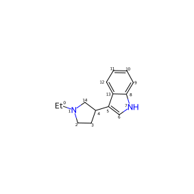 CCN1CCC(c2c[nH]c3ccccc23)C1